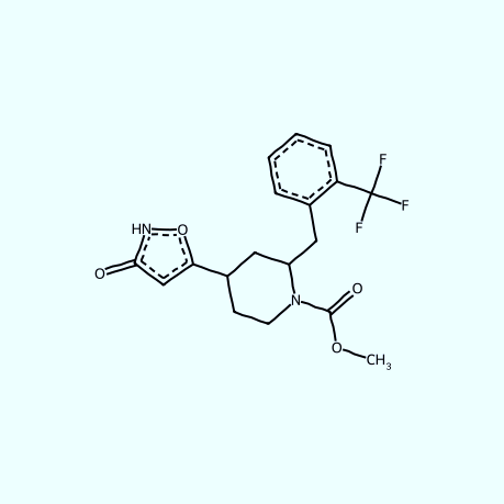 COC(=O)N1CCC(c2cc(=O)[nH]o2)CC1Cc1ccccc1C(F)(F)F